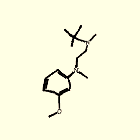 COc1cccc(N(C)CCN(C)C(C)(C)C)c1